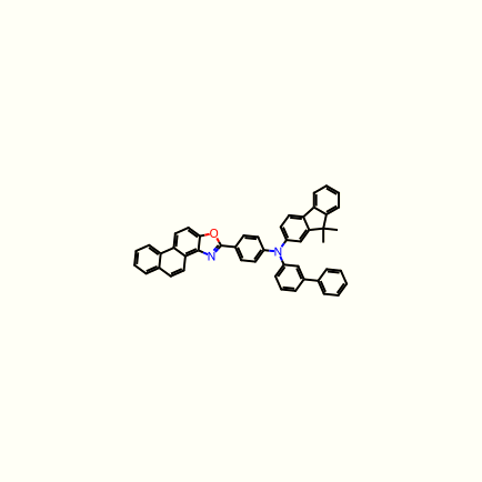 CC1(C)c2ccccc2-c2ccc(N(c3ccc(-c4nc5c(ccc6c7ccccc7ccc65)o4)cc3)c3cccc(-c4ccccc4)c3)cc21